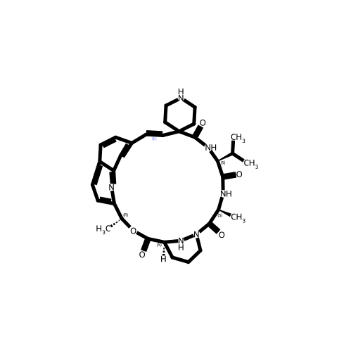 CC(C)[C@@H]1NC(=O)C2(/C=C/c3ccc4ccc(nc4c3)[C@@H](C)OC(=O)[C@@H]3CCCN(N3)C(=O)[C@H](C)NC1=O)CCNCC2